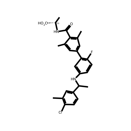 Cc1cc(C(C)Nc2ccc(F)c(-c3cc(C)c(C(=O)N[C@@H](C)C(=O)O)c(C)c3)c2)ccc1Cl